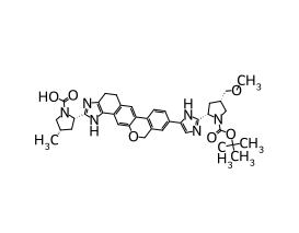 COC[C@H]1C[C@@H](c2ncc(-c3ccc4c(c3)COc3cc5c(cc3-4)CCc3nc([C@@H]4C[C@H](C)CN4C(=O)O)[nH]c3-5)[nH]2)N(C(=O)OC(C)(C)C)C1